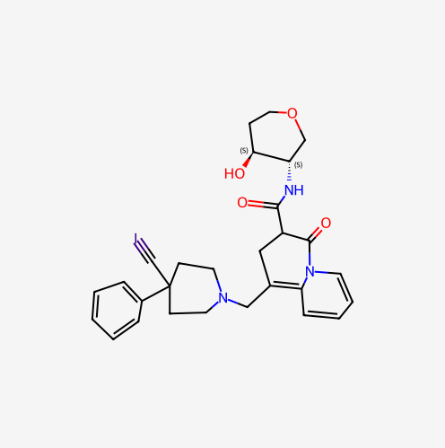 O=C(N[C@H]1COCC[C@@H]1O)C1CC(CN2CCC(C#I)(c3ccccc3)CC2)=C2C=CC=CN2C1=O